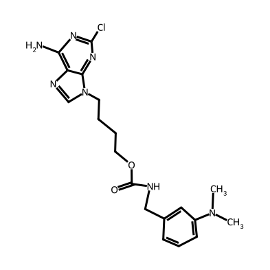 CN(C)c1cccc(CNC(=O)OCCCCn2cnc3c(N)nc(Cl)nc32)c1